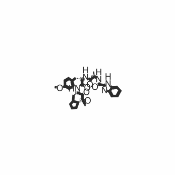 COc1ccc(C[C@H](NC(=O)[C@@H](C)NC(=O)c2nc3ccccc3[nH]2)C(=O)N[C@@H](CC2CCCC2)C(=O)[C@]2(C)CO2)cc1